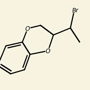 CC(Br)C1COc2ccccc2O1